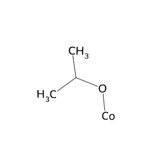 CC(C)[O][Co]